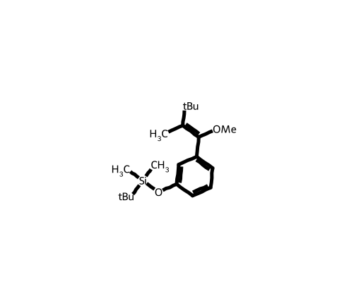 COC(=C(C)C(C)(C)C)c1cccc(O[Si](C)(C)C(C)(C)C)c1